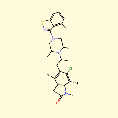 [2H]c1c(CC(C)N2C(C)CN(c3nsc4cccc(C)c34)CC2C)c(Cl)c([2H])c2c1CC(=O)N2C